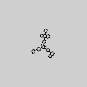 c1ccc(-c2c3ccccc3c(-c3ccc(-c4nc(-c5ccc(-c6cccnc6)cc5)cc(-c5ccc(-c6cncc7ccccc67)cc5)n4)cc3)c3ccccc23)cc1